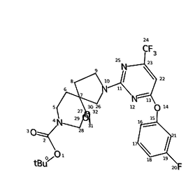 CC(C)(C)OC(=O)N1CCC2(CCN(c3nc(Oc4cccc(F)c4)cc(C(F)(F)F)n3)C2)C2(C1)OCCO2